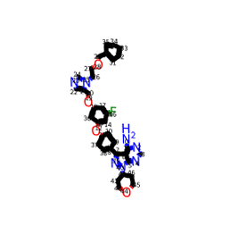 Nc1ncnc2c1c(-c1ccc(Oc3cc(F)cc(OCc4cncn4CCOCc4ccccc4)c3)cc1)nn2C1CCOCC1